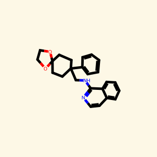 c1ccc(C2(CNc3nccc4ccccc34)CCC3(CC2)OCCO3)cc1